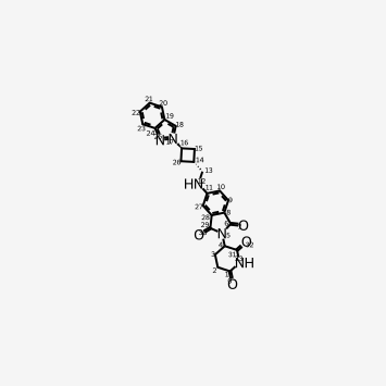 O=C1CCC(N2C(=O)c3ccc(NC[C@H]4C[C@H](n5cc6ccccc6n5)C4)cc3C2=O)C(=O)N1